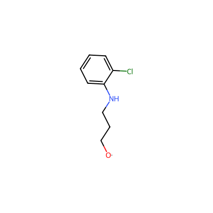 [O]CCCNc1ccccc1Cl